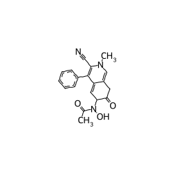 CC(=O)N(O)C1C=C2C(=CN(C)C(C#N)=C2c2ccccc2)CC1=O